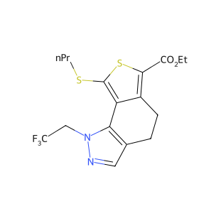 CCCSc1sc(C(=O)OCC)c2c1-c1c(cnn1CC(F)(F)F)CC2